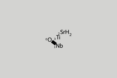 [O]=[Nb].[SrH2].[Ti]